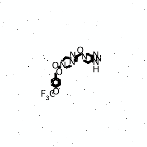 O=C(OCc1ccc(OC(F)(F)F)cc1)N1CCc2nc(C(=O)N3CCc4[nH]nnc4C3)cn2CC1